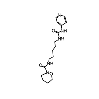 O=C(NCCCCCNC(=O)N1CCCCO1)Nc1ccncc1